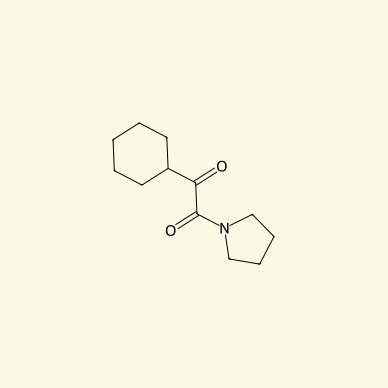 O=C(C(=O)N1CCCC1)C1CCCCC1